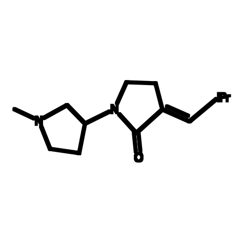 CC(C)/C=C1\CCN(C2CCN(C)C2)C1=O